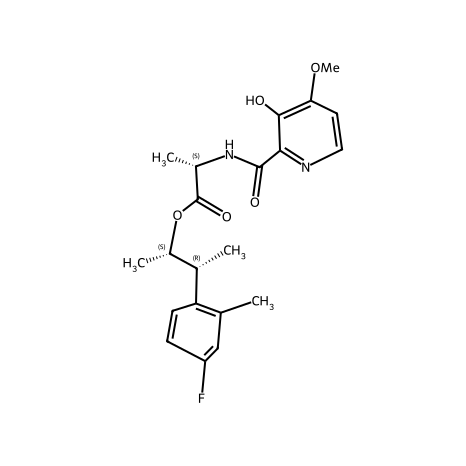 COc1ccnc(C(=O)N[C@@H](C)C(=O)O[C@@H](C)[C@H](C)c2ccc(F)cc2C)c1O